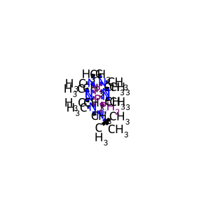 CN(C)P(/[PH2]=N/C(C)(C)C)(N(C)C)(N(C)C)P(N(C)C)(N(C)C)(N(C)C)N(C)C